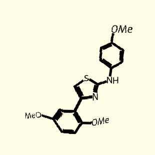 COc1ccc(Nc2nc(-c3cc(OC)ccc3OC)cs2)cc1